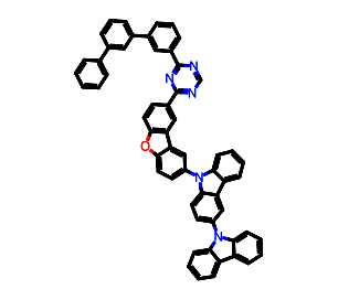 c1ccc(-c2cccc(-c3cccc(-c4ncnc(-c5ccc6oc7ccc(-n8c9ccccc9c9cc(-n%10c%11ccccc%11c%11ccccc%11%10)ccc98)cc7c6c5)n4)c3)c2)cc1